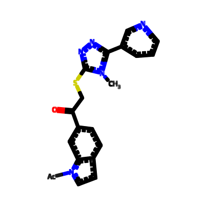 CC(=O)n1ccc2ccc(C(=O)CSc3nnc(-c4cccnc4)n3C)cc21